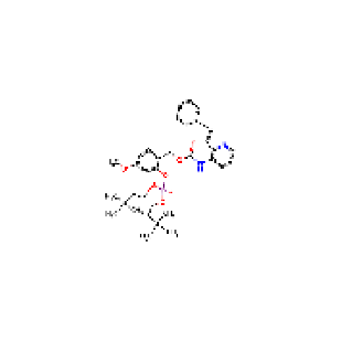 COc1ccc(COC(=O)Nc2cccnc2C=Cc2ccccc2)c(OP(=O)(OCC[Si](C)(C)C)OCC[Si](C)(C)C)c1